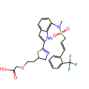 CN(c1cccc2cc(C3=NCC(CCSCC(=O)O)S3)[nH]c12)S(=O)(=O)CC=Cc1ccccc1C(F)(F)F